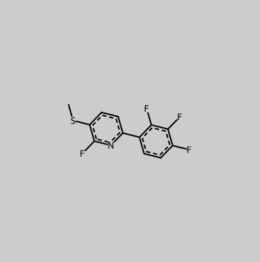 CSc1ccc(-c2ccc(F)c(F)c2F)nc1F